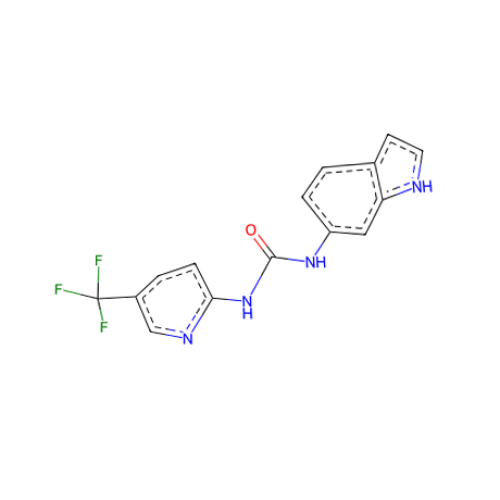 O=C(Nc1ccc2cc[nH]c2c1)Nc1ccc(C(F)(F)F)cn1